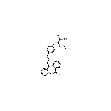 CCCOC(Cc1ccc(CCCN2c3ccccc3CC(=O)c3ccccc32)cc1)C(=O)O